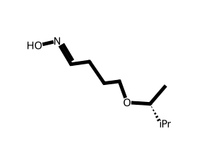 CC(C)[C@@H](C)OCCC/C=N/O